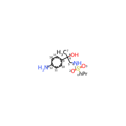 CCCS(=O)(=O)NCC(C)(O)c1ccc(N)cc1